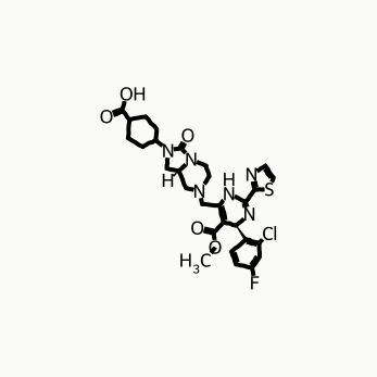 COC(=O)C1=C(CN2CCN3C(=O)N(C4CCC(C(=O)O)CC4)C[C@@H]3C2)NC(c2nccs2)=N[C@H]1c1ccc(F)cc1Cl